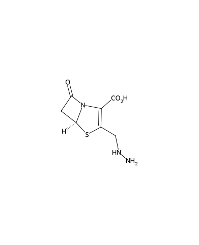 NNCC1=C(C(=O)O)N2C(=O)C[C@@H]2S1